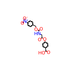 O=C(CNC(=O)OCc1ccc([N+](=O)[O-])cc1)Oc1ccc(C(=O)O)cc1